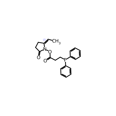 C/C=C1/CCC(=O)N1OC(=O)CCP(c1ccccc1)c1ccccc1